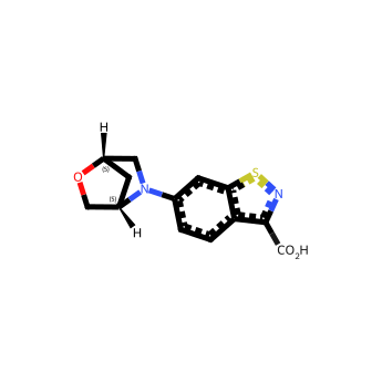 O=C(O)c1nsc2cc(N3C[C@@H]4C[C@H]3CO4)ccc12